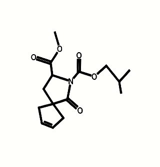 COC(=O)C1CC2(CC=CC2)C(=O)N1C(=O)OCC(C)C